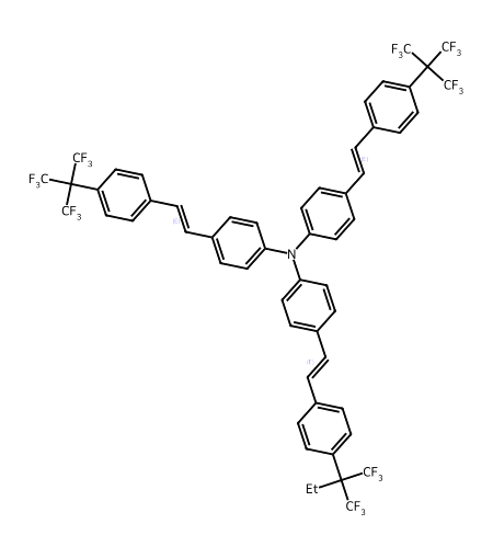 CCC(c1ccc(/C=C/c2ccc(N(c3ccc(/C=C/c4ccc(C(C(F)(F)F)(C(F)(F)F)C(F)(F)F)cc4)cc3)c3ccc(/C=C/c4ccc(C(C(F)(F)F)(C(F)(F)F)C(F)(F)F)cc4)cc3)cc2)cc1)(C(F)(F)F)C(F)(F)F